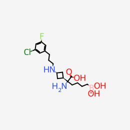 NC(CCCCB(O)O)(C(=O)O)[C@H]1C[C@H](NCCCc2cc(F)cc(Cl)c2)C1